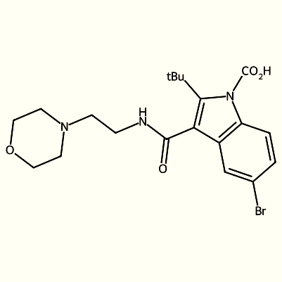 CC(C)(C)c1c(C(=O)NCCN2CCOCC2)c2cc(Br)ccc2n1C(=O)O